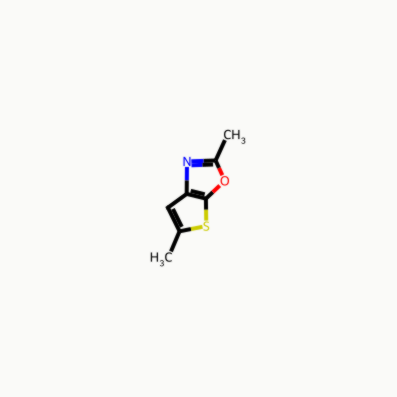 Cc1nc2cc(C)sc2o1